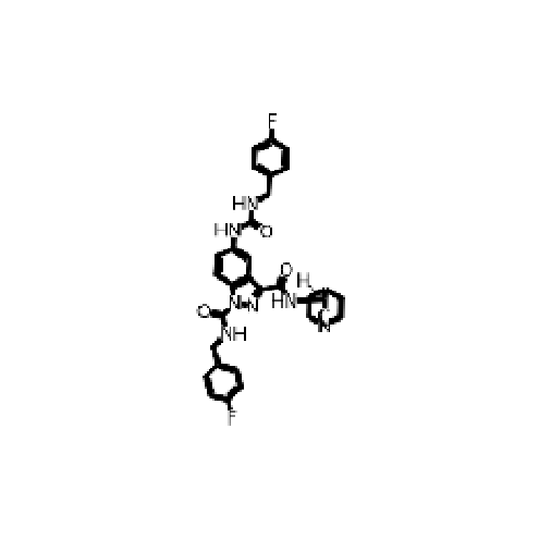 O=C(NCc1ccc(F)cc1)Nc1ccc2c(c1)c(C(=O)N[C@@H]1CN3CCC1CC3)nn2C(=O)NCc1ccc(F)cc1